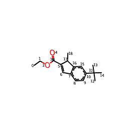 CCOC(=O)C1=Cc2ccc(C(C)(C)C)cc2C1C